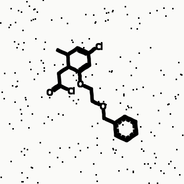 CC1C=C(Cl)C=C(OCCOCc2ccccc2)C1CC(=O)Cl